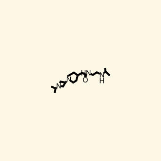 CC(C)NCCNC(=O)CC1CCN(C2CN(C(C)C)C2)CC1